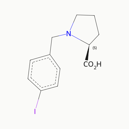 O=C(O)[C@@H]1CCCN1Cc1ccc(I)cc1